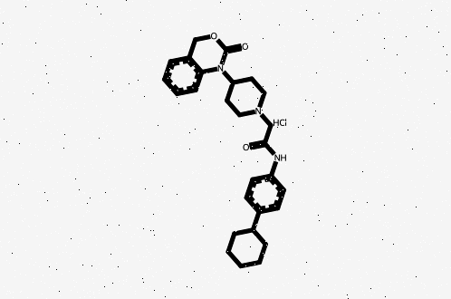 Cl.O=C(CN1CCC(N2C(=O)OCc3ccccc32)CC1)Nc1ccc(C2CCCCC2)cc1